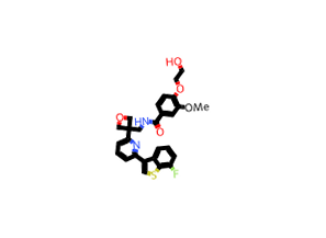 COc1cc(C(=O)NCC2(c3cccc(-c4csc5c(F)cccc45)n3)COC2)ccc1OCCO